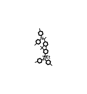 CC[C@](C)(c1ccc2c(c1)C(C)(C)c1cc(C(C)N(c3ccc(C)cc3)c3ccc(C)cc3)ccc1-2)N(c1ccc(C)cc1)c1ccc(C)cc1